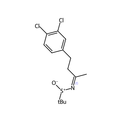 C/C(CCc1ccc(Cl)c(Cl)c1)=N/[S+]([O-])C(C)(C)C